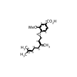 COc1cc(C(=O)O)ccc1OC/C=C(\C)CCC=C(C)C